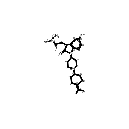 CC(=O)N(N)C(=O)CC1C(=O)N(C2CCN(C3CCC(=C(C)C)CC3)CC2)c2ccc(F)cc21